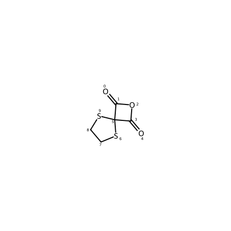 O=C1OC(=O)C12SCCS2